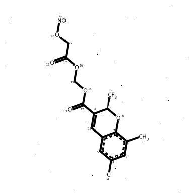 Cc1cc(Cl)cc2c1O[C@H](C(F)(F)F)C(C(=O)OCOC(=O)CON=O)=C2